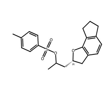 Cc1ccc(S(=O)(=O)OC(C)C[C@H]2Cc3ccc4c(c3O2)CCC4)cc1